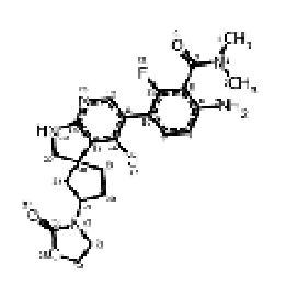 CN(C)C(=O)c1c(N)ccc(-c2cnc3c(c2Cl)[C@@]2(CC[C@@H](N4CCOC4=O)C2)CN3)c1F